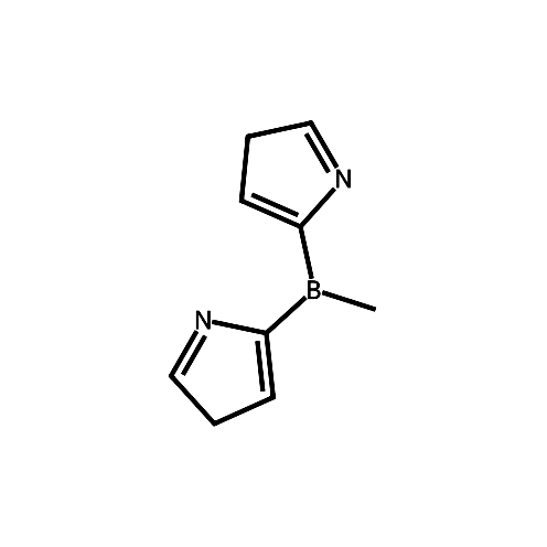 CB(C1=CCC=N1)C1=CCC=N1